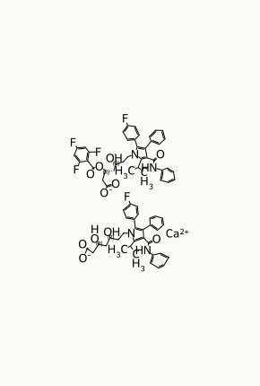 CC(C)c1c(C(=O)Nc2ccccc2)c(-c2ccccc2)c(-c2ccc(F)cc2)n1CC[C@@H](O)C[C@@H](O)CC(=O)[O-].CC(C)c1c(C(=O)Nc2ccccc2)c(-c2ccccc2)c(-c2ccc(F)cc2)n1CC[C@@H](O)C[C@H](CC(=O)[O-])OC(=O)c1c(F)cc(F)cc1F.[Ca+2]